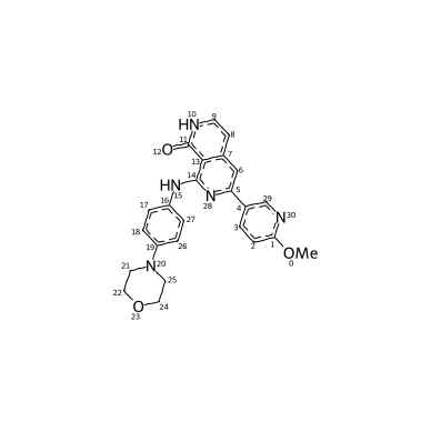 COc1ccc(-c2cc3cc[nH]c(=O)c3c(Nc3ccc(N4CCOCC4)cc3)n2)cn1